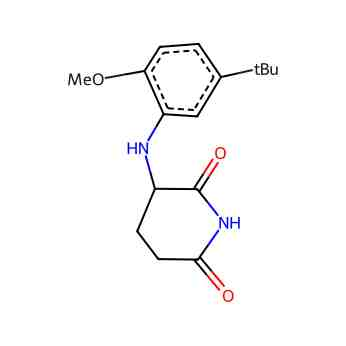 COc1ccc(C(C)(C)C)cc1NC1CCC(=O)NC1=O